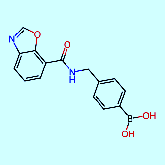 O=C(NCc1ccc(B(O)O)cc1)c1cccc2ncoc12